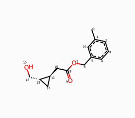 Cc1cccc(COC(=O)C[C@H]2C[C@@H]2CO)c1